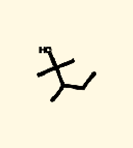 CCC(C)C(C)(C)O